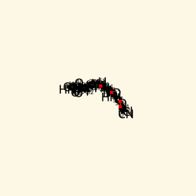 N#Cc1ccc(OC2CCC(NC(=O)c3ccc(N4C[C@@H]5C(CN6CCN(c7cc8c(cc7F)C(=O)N(C7CCC(=O)NC7=O)C8=O)CC6)[C@@H]5C4)nn3)CC2)cc1Cl